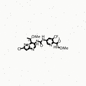 CONC(=O)c1ncc(NC(=O)Nc2cnc3cc(Cl)nn3c2[C@H](C)OC)cc1C(F)(F)F